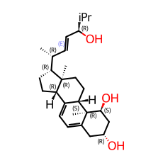 CC(C)[C@@H](O)/C=C/[C@@H](C)[C@H]1CC[C@H]2C3=CC=C4C[C@@H](O)C[C@H](O)[C@]4(C)[C@H]3CC[C@]12C